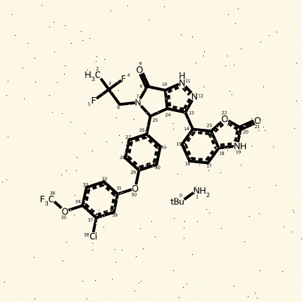 CC(C)(C)N.CC(F)(F)CN1C(=O)c2[nH]nc(-c3cccc4[nH]c(=O)oc34)c2C1c1ccc(Oc2ccc(OC(F)(F)F)c(Cl)c2)cc1